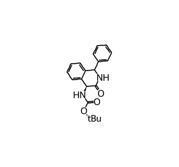 CC(C)(C)OC(=O)N[C@@H]1C(=O)NC(c2ccccc2)c2ccccc21